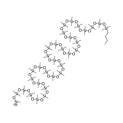 CCCC[Si](C)(C)O[Si](C)(C)O[Si](C)(C)O[Si](C)(C)O[Si](C)(C)O[Si](C)(C)O[Si](C)(C)O[Si](C)(C)O[Si](C)(C)O[Si](C)(C)O[Si](C)(C)O[Si](C)(C)O[Si](C)(C)O[Si](C)(C)O[Si](C)(C)O[Si](C)(C)O[Si](C)(C)O[Si](C)(C)O[Si](C)(C)O[Si](C)(C)O[Si](C)(C)O[Si](C)(C)O[Si](C)(C)O[Si](C)(C)O[Si](C)(C)O[Si](C)(C)O[Si](C)(C)O[Si](C)(C)O[Si](C)(C)O[Si](C)(C)O[Si](C)(C)O[SiH](C)C